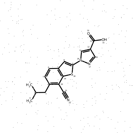 CC(C)Cc1ccc2cc(-n3cc(C(=O)O)cn3)sc2c1C#N